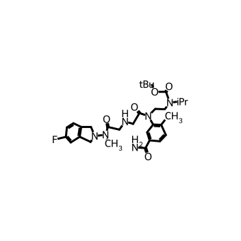 Cc1ccc(C(N)=O)cc1N(CCN(C(=O)OC(C)(C)C)C(C)C)C(=O)CNCC(=O)N(C)N1Cc2ccc(F)cc2C1